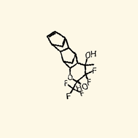 CC1(O)C2C3CC(C2OC(O)(C(F)(F)F)C1(F)F)C1C2C=CC(C2)C31